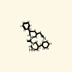 C=C(N1CC(CC#N)CC(c2ccccc2)C1)N1CNCC(C2CCCCC2)C1